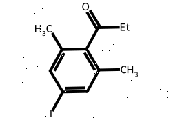 CCC(=O)c1c(C)cc(I)cc1C